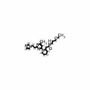 CCOCCCNC(=O)CC1CCCCN1c1cc(C)nc(CCn2ccnc2)n1